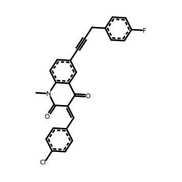 CN1C(=O)/C(=C\c2ccc(Cl)cc2)C(=O)c2cc(C#CCc3ccc(F)cc3)ccc21